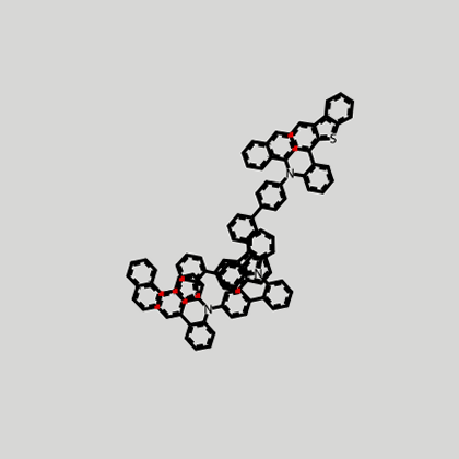 c1cc(-c2ccc(N(c3ccccc3-c3cccc4c3sc3ccccc34)c3cccc4ccccc34)cc2)cc(-c2cccc3ccc(-c4cccc5c4sc4c(-c6ccccc6N(c6ccc(-c7ccccc7-n7c8ccccc8c8ccccc87)cc6)c6cccc(-c7cccc8ccccc78)c6)cccc45)cc23)c1